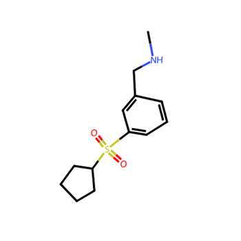 CNCc1cccc(S(=O)(=O)C2CCCC2)c1